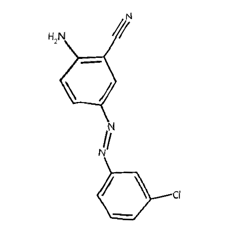 N#Cc1cc(N=Nc2cccc(Cl)c2)ccc1N